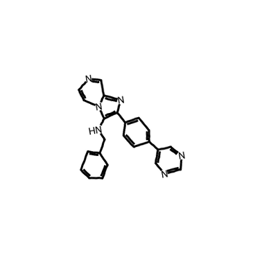 c1ccc(CNc2c(-c3ccc(-c4cncnc4)cc3)nc3cnccn23)cc1